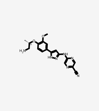 COc1cc(-c2cc(Nc3cnc(C#N)cn3)n[nH]2)ccc1O[C@@H](C)CN